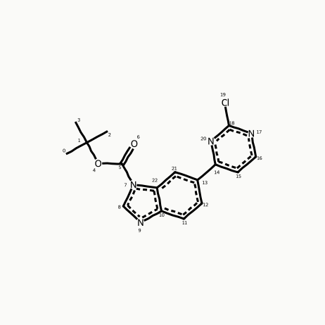 CC(C)(C)OC(=O)n1cnc2ccc(-c3ccnc(Cl)n3)cc21